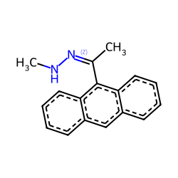 CN/N=C(/C)c1c2ccccc2cc2ccccc12